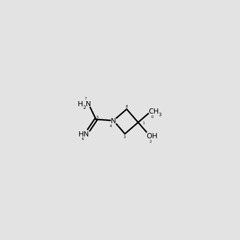 CC1(O)CN(C(=N)N)C1